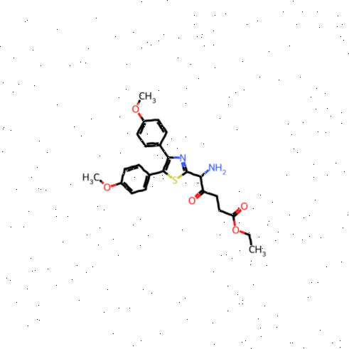 CCOC(=O)CCC(=O)C(N)c1nc(-c2ccc(OC)cc2)c(-c2ccc(OC)cc2)s1